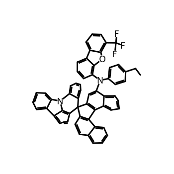 CCc1ccc(N(c2cc3c(c4ccccc24)-c2c(ccc4ccccc24)C32c3ccccc3-n3c4ccccc4c4cccc2c43)c2cccc3c2oc2c(C(F)(F)F)cccc23)cc1